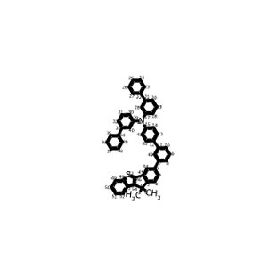 CC1(C)c2ccc(-c3cccc(-c4ccc(N(c5cccc(-c6ccccc6)c5)c5cccc(-c6ccccc6)c5)cc4)c3)cc2-c2sc3ccccc3c21